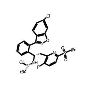 CC(C)S(=O)(=O)c1ccc(F)c(C[C@H](N[S@@+]([O-])C(C)(C)C)c2ccccc2-c2noc3cc(Cl)ccc23)n1